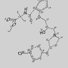 COC(=O)C(C)(C)NC(=O)c1ccccc1OCC(O)CN1CCC(Oc2ccc(Cl)cc2)C1